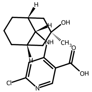 C[C@@]1(O)C[C@H]2CCC[C@@H](C1)[C@H]2Nc1cc(Cl)ncc1C(=O)O